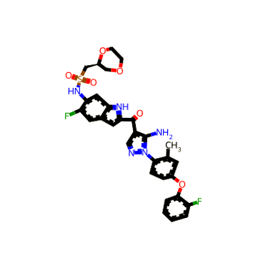 Cc1cc(Oc2ccccc2F)ccc1-n1ncc(C(=O)c2cc3cc(F)c(NS(=O)(=O)C[C@@H]4COCCO4)cc3[nH]2)c1N